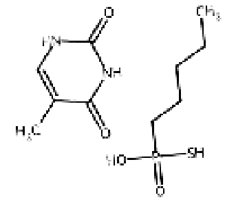 CCCCCP(=O)(O)S.Cc1c[nH]c(=O)[nH]c1=O